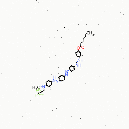 CCCCCCC(=O)Oc1ccc(NCNc2ccc(/N=N/c3ccc(NNc4ccc(N(CC)CC(F)(F)C(F)(F)F)cc4)cc3)cc2)cc1